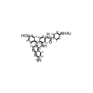 CC(=O)Nc1ccc(C(=O)Nc2ccc(Sc3ccc(O)cc3)c(Nc3ncnc4nc(C(C)C)ccc34)c2)cc1